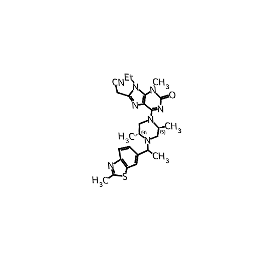 CCn1c(CC#N)nc2c(N3C[C@@H](C)N(C(C)c4ccc5nc(C)sc5c4)C[C@@H]3C)nc(=O)n(C)c21